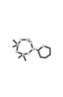 C[Si]1(C)O[SiH2]O[SiH](C2CCCCO2)O[Si](C)(C)O1